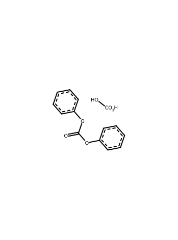 O=C(O)O.O=C(Oc1ccccc1)Oc1ccccc1